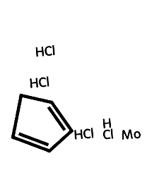 C1=CCC=C1.Cl.Cl.Cl.Cl.[Mo]